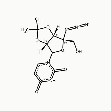 CC1(C)O[C@H]2C(n3ccc(=O)[nH]c3=O)O[C@@](CO)(N=[N+]=[N-])[C@H]2O1